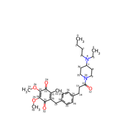 CCCCN(CC)C1CCN(C(=O)CCc2ccc(CC3=C(C)C(=O)C(OC)=C(OC)C3=O)cc2)CC1